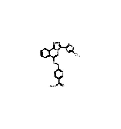 COC(=O)c1ccc(COc2nn3c(-c4noc(C)n4)nnc3c3ccccc23)nc1